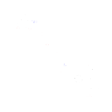 CC(=O)c1cccc(NCCCOCCOCCOCCCNC(=O)CCc2ccc(C3CC4(C)C(O)CCC4C4CCC5=CC(=O)CCC5=C34)cc2)c1C(C)=O